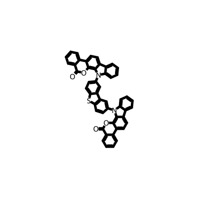 O=c1oc2c(ccc3c4ccccc4n(-c4ccc5sc6ccc(-n7c8ccccc8c8ccc9c%10ccccc%10c(=O)oc9c87)cc6c5c4)c32)c2ccccc12